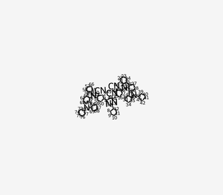 N#Cc1cc(-c2nc(-c3ccccc3)nc(-c3ccc(-n4c5ccccc5c5ccc6c(c7ccccc7n6-c6ccccc6)c54)c(C#N)c3)c2C#N)ccc1-n1c2ccccc2c2ccc3c(c4ccccc4n3-c3ccccc3)c21